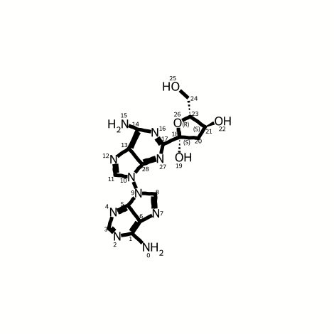 Nc1ncnc2c1ncn2-n1cnc2c(N)nc([C@]3(O)C[C@H](O)[C@@H](CO)O3)nc21